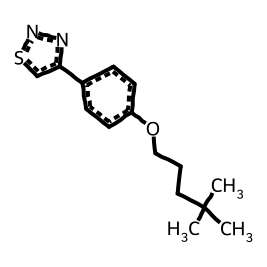 CC(C)(C)CCCOc1ccc(-c2csnn2)cc1